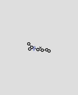 Cn1c(-c2ccc3c(c2)C(C)(C)c2cc(-c4ccc5ccccc5c4)ccc2-3)nc2cc(-c3ccccc3)c3ccccc3c21